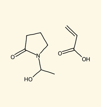 C=CC(=O)O.CC(O)N1CCCC1=O